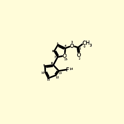 CC(=O)Oc1ccc(-c2ccccc2F)o1